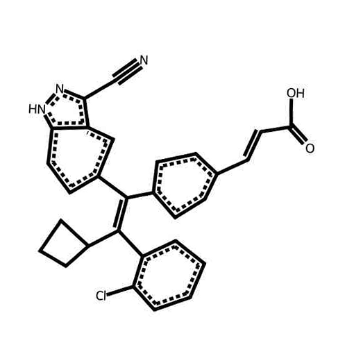 N#Cc1n[nH]c2ccc(/C(=C(/c3ccccc3Cl)C3CCC3)c3ccc(/C=C/C(=O)O)cc3)cc12